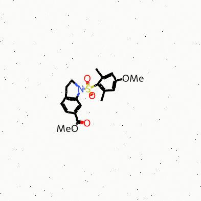 COC(=O)c1ccc2c(c1)N(S(=O)(=O)c1c(C)cc(OC)cc1C)CC2